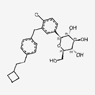 OC[C@H]1O[C@@H](c2ccc(Cl)c(Cc3ccc(CCC4CCC4)cc3)c2)[C@H](O)[C@@H](O)[C@@H]1O